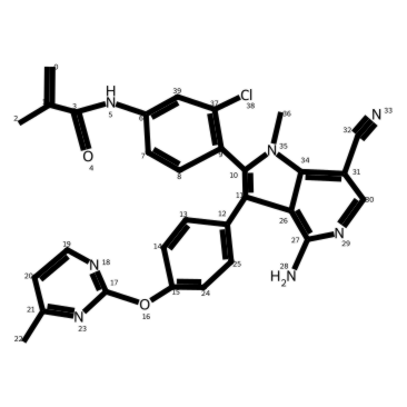 C=C(C)C(=O)Nc1ccc(-c2c(-c3ccc(Oc4nccc(C)n4)cc3)c3c(N)ncc(C#N)c3n2C)c(Cl)c1